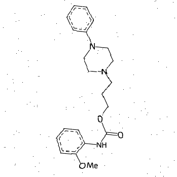 COc1ccccc1NC(=O)OCCCN1CCN(c2ccccc2)CC1